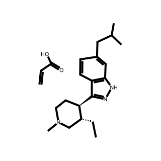 C=CC(=O)O.CC[C@@H]1CN(C)CC[C@H]1c1n[nH]c2cc(CC(C)C)ccc12